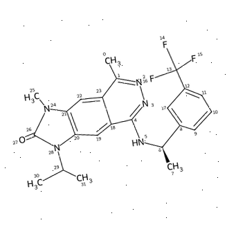 Cc1nnc(N[C@H](C)c2cccc(C(F)(F)F)c2)c2cc3c(cc12)n(C)c(=O)n3C(C)C